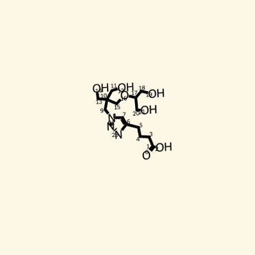 O=C(O)CCCc1cn(CC(CO)(CO)COC(CO)CO)nn1